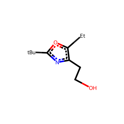 CCc1oc(C(C)(C)C)nc1CCO